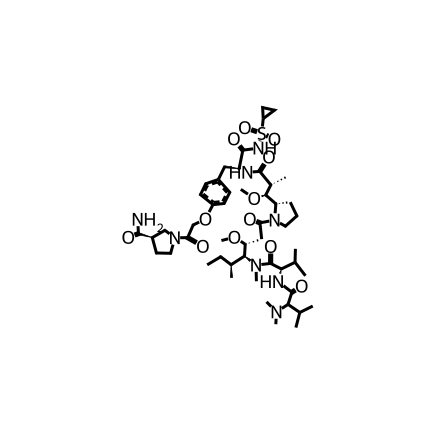 CC[C@H](C)[C@@H]([C@@H](CC(=O)N1CCC[C@H]1[C@H](OC)[C@@H](C)C(=O)N[C@@H](Cc1ccc(OCC(=O)N2CC[C@@H](C(N)=O)C2)cc1)C(=O)NS(=O)(=O)C1CC1)OC)N(C)C(=O)[C@@H](NC(=O)C(C(C)C)N(C)C)C(C)C